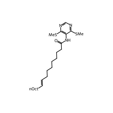 CCCCCCCCC=CCCCCCCCC(=O)Nc1c(SC)ncnc1SC